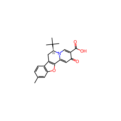 Cc1ccc2c3c(oc2c1)-c1cc(=O)c(C(=O)O)cn1[C@H](C(C)(C)C)C3